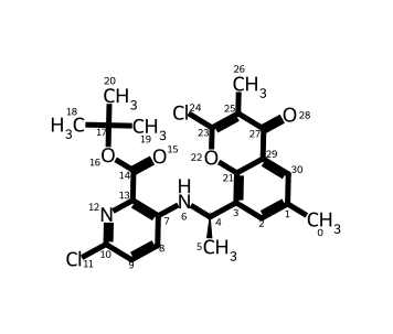 Cc1cc([C@@H](C)Nc2ccc(Cl)nc2C(=O)OC(C)(C)C)c2oc(Cl)c(C)c(=O)c2c1